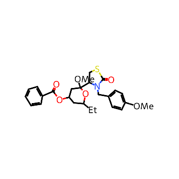 CCC1CC(OC(=O)c2ccccc2)CC(OC)(C2CSC(=O)N2Cc2ccc(OC)cc2)O1